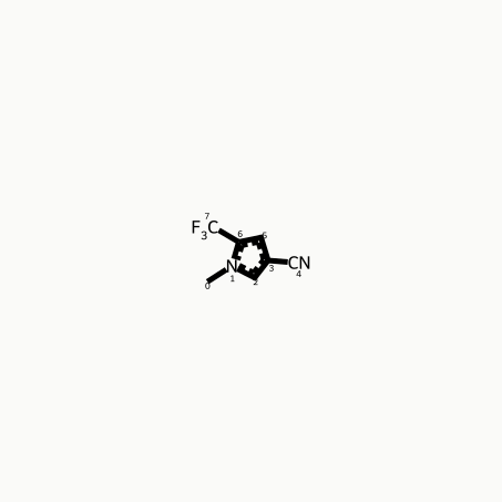 Cn1cc(C#N)cc1C(F)(F)F